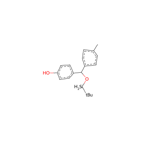 Cc1ccc(C(O[SiH2]C(C)(C)C)c2ccc(O)cc2)cc1